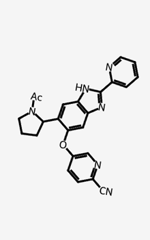 CC(=O)N1CCCC1c1cc2[nH]c(-c3ccccn3)nc2cc1Oc1ccc(C#N)nc1